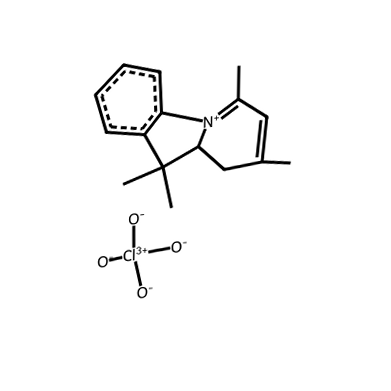 CC1=CC(C)=[N+]2c3ccccc3C(C)(C)C2C1.[O-][Cl+3]([O-])([O-])[O-]